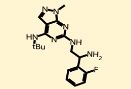 Cn1ncc2c(NC(C)(C)C)nc(NCC(N)c3ccccc3F)nc21